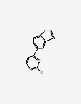 Clc1nccc(-c2ccc3scnc3c2)n1